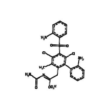 Cc1c(Cl)c(S(=O)(=O)c2ccccc2N)c(Cl)c(-c2ccccc2N)c1CC(=NC(N)=O)C(=O)O